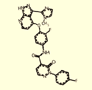 Cn1ccnc1-c1n[nH]c2nccc(Oc3ccc(NC(=O)c4ccnn(-c5ccc(F)cc5)c4=O)cc3F)c12